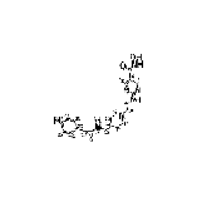 O=C(NO)c1cnc(NCCN2CCC(CNC3CC3c3ccc(F)cc3)CC2)nc1